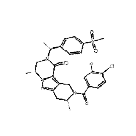 C[C@@H]1Cc2nn3c(c2CN1C(=O)c1ccc(Cl)c(Cl)c1)C(=O)N([C@H](C)c1ccc(S(C)(=O)=O)cc1)C[C@H]3C